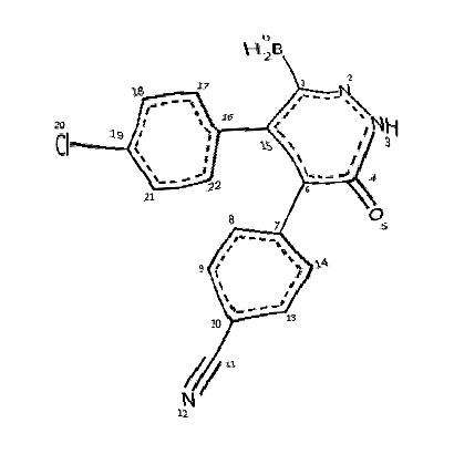 Bc1n[nH]c(=O)c(-c2ccc(C#N)cc2)c1-c1ccc(Cl)cc1